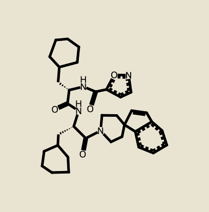 O=C(N[C@@H](CC1CCCCC1)C(=O)N[C@@H](CC1CCCCC1)C(=O)N1CCC2(C=Cc3ccccc32)CC1)c1ccno1